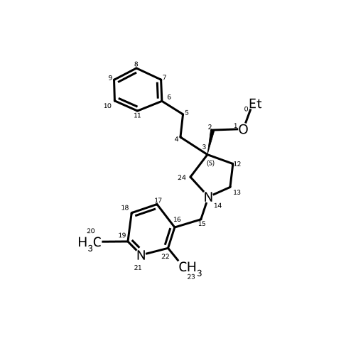 CCOC[C@@]1(CCc2ccccc2)CCN(Cc2ccc(C)nc2C)C1